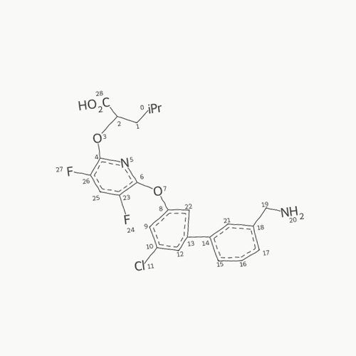 CC(C)CC(Oc1nc(Oc2cc(Cl)cc(-c3cccc(CN)c3)c2)c(F)cc1F)C(=O)O